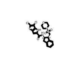 O=C(N[C@@H]1Cc2ccccc2[C@@H]1CS(=O)(=O)N1CCOCC1)c1cc2sc(Cl)c(Cl)c2[nH]1